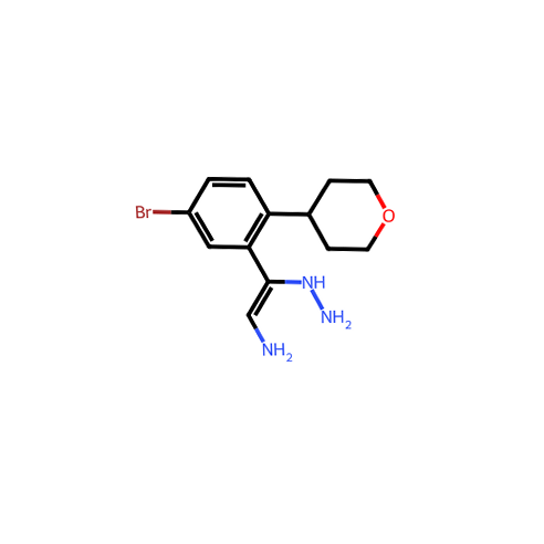 N/C=C(\NN)c1cc(Br)ccc1C1CCOCC1